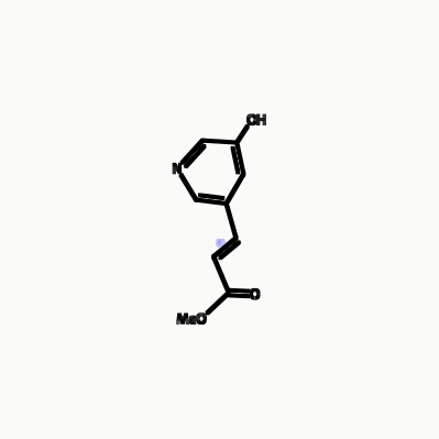 COC(=O)/C=C/c1cncc(O)c1